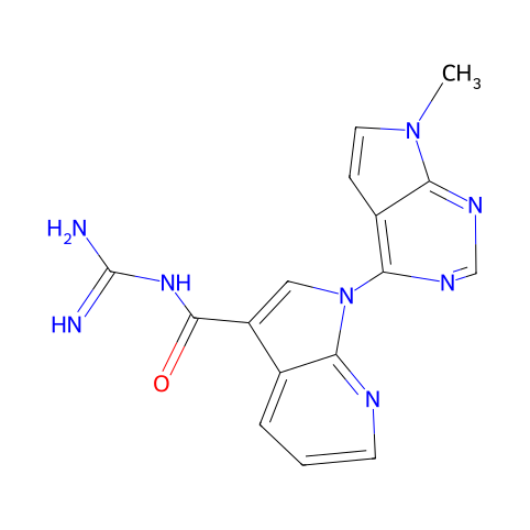 Cn1ccc2c(-n3cc(C(=O)NC(=N)N)c4cccnc43)ncnc21